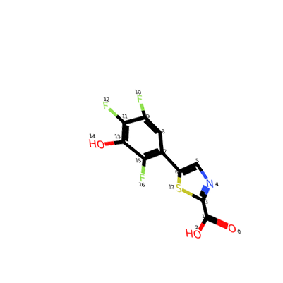 O=C(O)c1ncc(-c2cc(F)c(F)c(O)c2F)s1